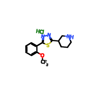 Cl.FC(F)(F)Oc1ccccc1-c1nnc(C2CCCNC2)s1